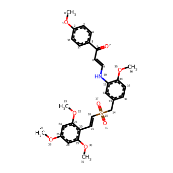 COc1ccc(C(=O)/C=C/Nc2cc(CS(=O)(=O)/C=C/c3c(OC)cc(OC)cc3OC)ccc2OC)cc1